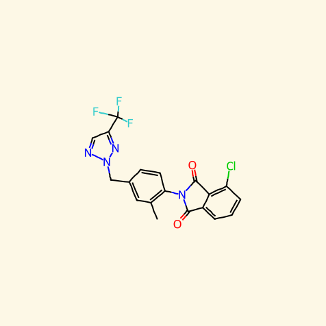 Cc1cc(Cn2ncc(C(F)(F)F)n2)ccc1N1C(=O)c2cccc(Cl)c2C1=O